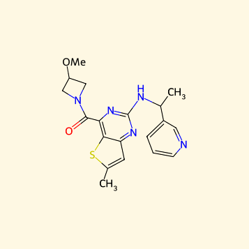 COC1CN(C(=O)c2nc(NC(C)c3cccnc3)nc3cc(C)sc23)C1